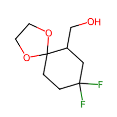 OCC1CC(F)(F)CCC12OCCO2